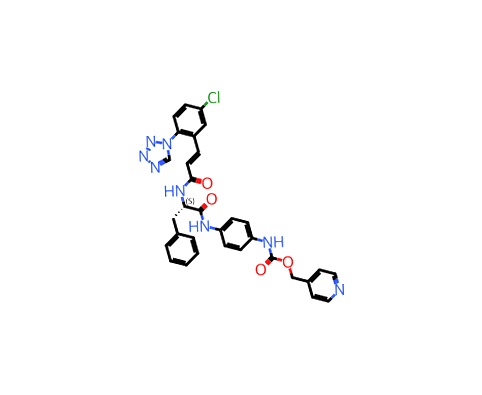 O=C(C=Cc1cc(Cl)ccc1-n1cnnn1)N[C@@H](Cc1ccccc1)C(=O)Nc1ccc(NC(=O)OCc2ccncc2)cc1